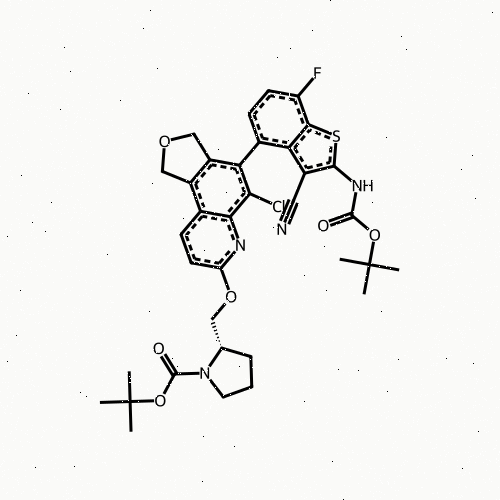 CC(C)(C)OC(=O)Nc1sc2c(F)ccc(-c3c4c(c5ccc(OC[C@@H]6CCCN6C(=O)OC(C)(C)C)nc5c3Cl)COC4)c2c1C#N